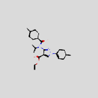 CCOC(=O)c1cn(C2=CCC(C)CC2)nc1N(C(=O)C1CCC(C)CC1)C(C)C